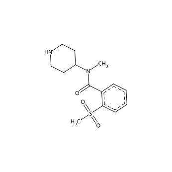 CN(C(=O)c1ccccc1S(C)(=O)=O)C1CCNCC1